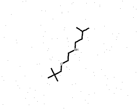 CC(C)CCNCCOCC(C)(C)C